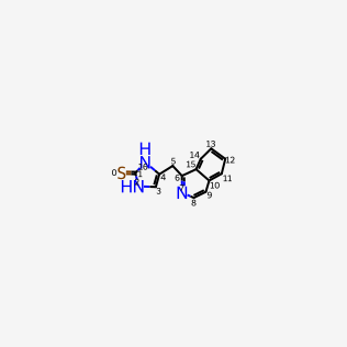 S=c1[nH]cc(Cc2nccc3ccccc23)[nH]1